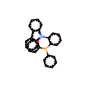 c1ccc(P(c2ccccc2)c2ccccc2-n2c3ccccc3c3ccccc32)cc1